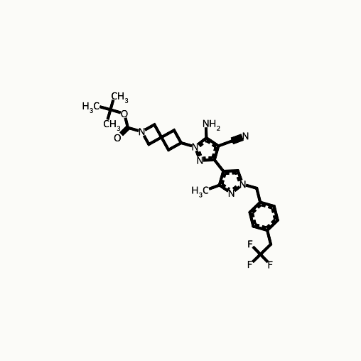 Cc1nn(Cc2ccc(CC(F)(F)F)cc2)cc1-c1nn(C2CC3(C2)CN(C(=O)OC(C)(C)C)C3)c(N)c1C#N